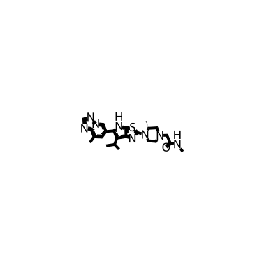 CNC(=O)CN1CCN(c2nc3c(C(C)C)c(-c4cc(C)c5ncnn5c4)[nH]c3s2)[C@H](C)C1